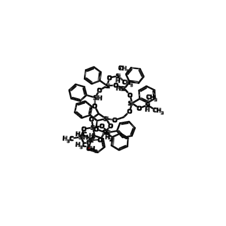 C[SiH](C)O[Si](O[SiH2]c1ccccc1)(OC1O[SiH](c2ccccc2)O[Si](O[SiH](C)C)(c2ccccc2)O[SiH](c2ccccc2)O[Si](O[SiH](C)C)(c2ccccc2)OCO[Si]12O[Si](O[SiH](C)C)(c1ccccc1)OC2c1ccccc1)c1ccccc1